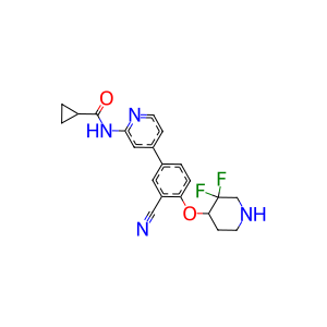 N#Cc1cc(-c2ccnc(NC(=O)C3CC3)c2)ccc1OC1CCNCC1(F)F